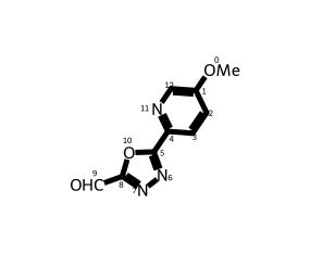 COc1ccc(-c2nnc(C=O)o2)nc1